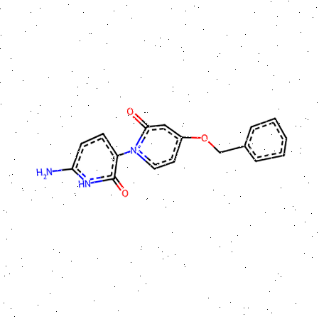 Nc1ccc(-n2ccc(OCc3ccccc3)cc2=O)c(=O)[nH]1